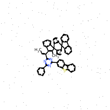 C/C=C(\C1=C(C)C2(c3ccccc31)c1ccccc1C1(c3ccccc3-c3ccccc31)c1ccccc12)c1nc(-c2ccccc2)nc(-c2ccc3c(c2)sc2ccccc23)n1